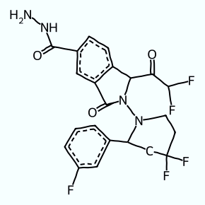 NNC(=O)c1ccc2c(c1)C(=O)N(N1CCC(F)(F)CC1c1cccc(F)c1)C2C(=O)C(F)F